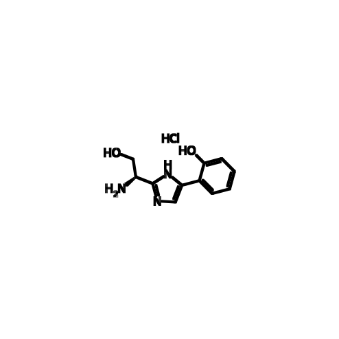 Cl.N[C@@H](CO)c1ncc(-c2ccccc2O)[nH]1